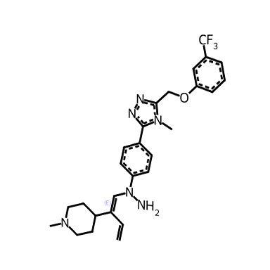 C=C/C(=C\N(N)c1ccc(-c2nnc(COc3cccc(C(F)(F)F)c3)n2C)cc1)C1CCN(C)CC1